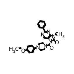 CCOc1ccc(N2CCN(C(=O)n3c(=O)n(C)c4nc(-c5ccccc5)ncc43)CC2)cc1